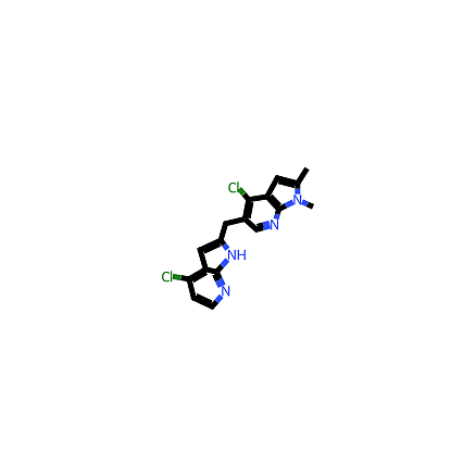 Cc1cc2c(Cl)c(Cc3cc4c(Cl)ccnc4[nH]3)cnc2n1C